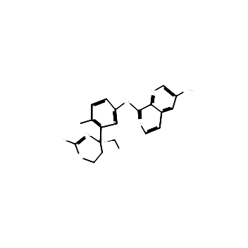 C[C@@H]1CSC(N)=N[C@]1(CF)c1cc(Nc2nccc3cc(C#N)cnc23)ccc1F